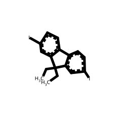 CCC1(CC)c2cc(I)ccc2-c2ccc(I)cc21